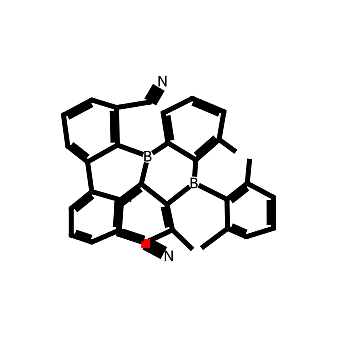 Cc1cccc(C)c1B1c2c(C)cccc2B(c2c(C#N)cccc2-c2cccc(C#N)c2F)c2cccc(C)c21